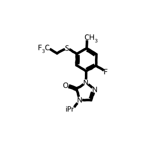 Cc1cc(F)c(-n2ncn(C(C)C)c2=O)cc1SCC(F)(F)F